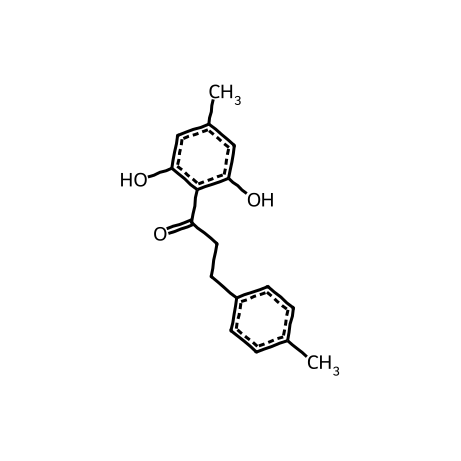 Cc1ccc(CCC(=O)c2c(O)cc(C)cc2O)cc1